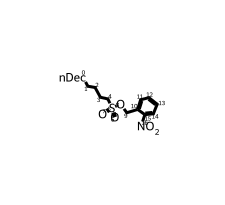 CCCCCCCCCCCCCCS(=O)(=O)OCc1ccccc1[N+](=O)[O-]